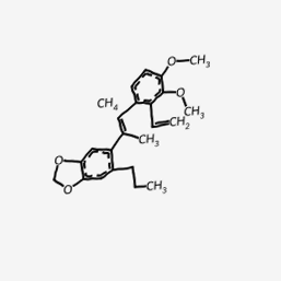 C.C=Cc1c(/C=C(\C)c2cc3c(cc2CCC)OCO3)ccc(OC)c1OC